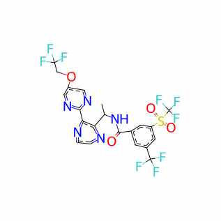 CC(NC(=O)c1cc(C(F)(F)F)cc(S(=O)(=O)C(F)(F)F)c1)c1nccnc1-c1ncc(OCC(F)(F)F)cn1